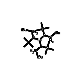 CC(C)(C)[SiH2][N]([La]([N]([SiH2]C(C)(C)C)[Si](C)(C)C)[N]([SiH2]C(C)(C)C)[Si](C)(C)C)[Si](C)(C)C